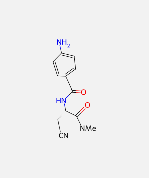 CNC(=O)[C@H](CC#N)NC(=O)c1ccc(N)cc1